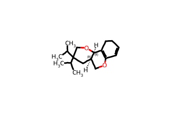 CC(C)C1(C(C)C)CO[C@H]2C3=C(C=CCC3)OC[C@H]2C1